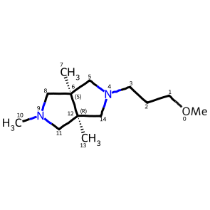 COCCCN1C[C@]2(C)CN(C)C[C@]2(C)C1